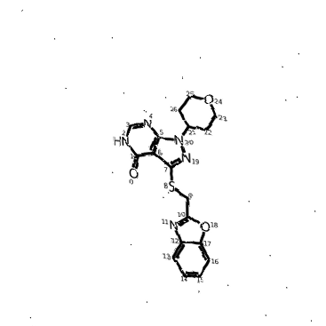 O=c1[nH]cnc2c1c(SCc1nc3ccccc3o1)nn2C1CCOCC1